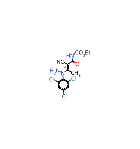 CCOC(=O)NC(=O)/C(C#N)=C(\C)N(N)c1c(Cl)cc(Cl)cc1Cl